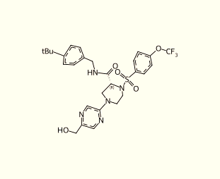 CC(C)(C)c1ccc(CNC(=O)[C@H]2CN(c3cnc(CO)cn3)CCN2S(=O)(=O)c2ccc(OC(F)(F)F)cc2)cc1